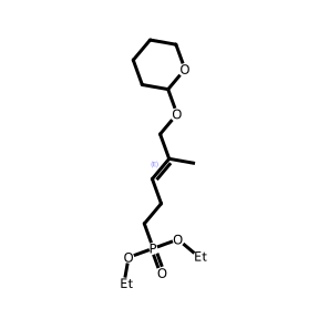 CCOP(=O)(CC/C=C(\C)COC1CCCCO1)OCC